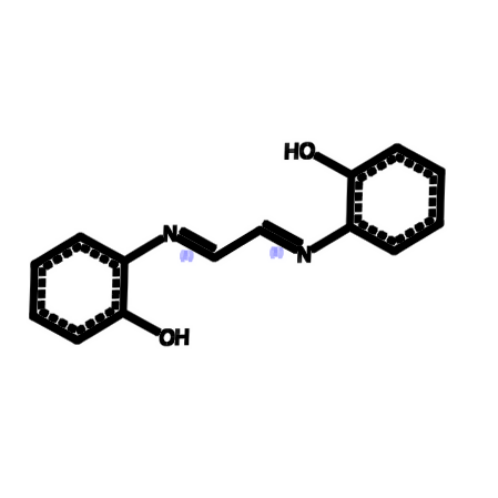 Oc1ccccc1/N=C/C=N/c1ccccc1O